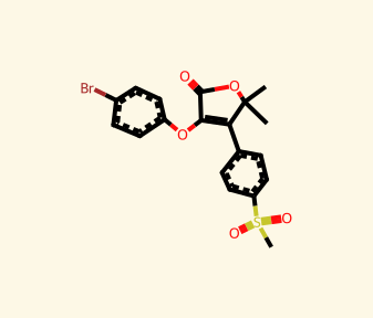 CC1(C)OC(=O)C(Oc2ccc(Br)cc2)=C1c1ccc(S(C)(=O)=O)cc1